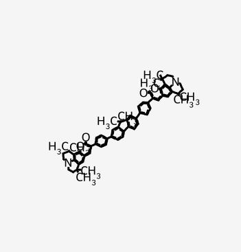 CC1(C)CCN2CCC(C)(C)c3c2c1cc1cc(-c2ccc(-c4ccc5c(c4)C(C)(C)c4cc(-c6ccc(-c7cc8cc9c%10c(c8oc7=O)C(C)(C)CCN%10CCC9(C)C)cc6)ccc4-5)cc2)c(=O)oc31